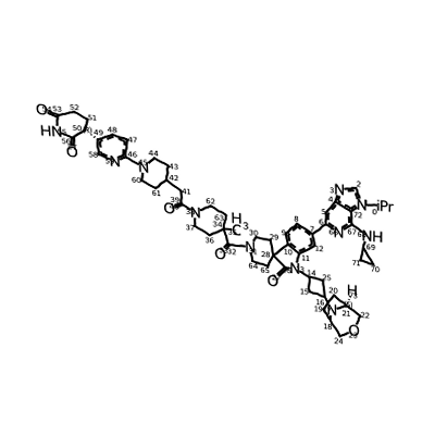 CC(C)n1cnc2cc(-c3ccc4c(c3)N(C3CC(N5C6CC[C@H]5COC6)C3)C(=O)C43CCN(C(=O)C4(C)CCN(C(=O)CC5CCN(c6ccc([C@H]7CCC(=O)NC7=O)cn6)CC5)CC4)CC3)nc(NC3CC3)c21